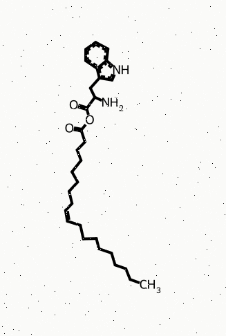 CCCCCCCCC/C=C\CCCCCCCC(=O)OC(=O)C(N)Cc1c[nH]c2ccccc12